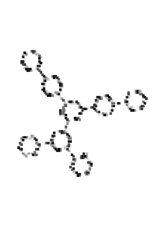 c1ccc(-c2ccc(-c3cc(-c4ccc(-c5ccccc5)cc4)nc(-c4cc(-c5ccccn5)cc(-c5ccccn5)c4)n3)cc2)cc1